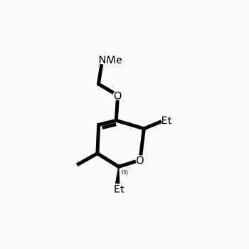 CCC1O[C@@H](CC)C(C)C=C1OCNC